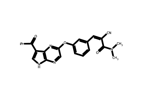 CC(C)C(=O)c1c[nH]c2ncc(Oc3cccc(C=C(C#N)C(=O)N(C)C)c3)nc12